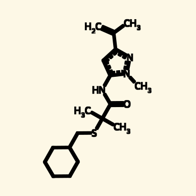 C=C(C)c1cc(NC(=O)C(C)(C)SCC2CCCCC2)n(C)n1